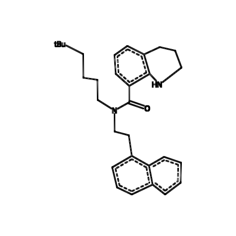 CC(C)(C)CCCCN(CCc1cccc2ccccc12)C(=O)c1cccc2c1NCCC2